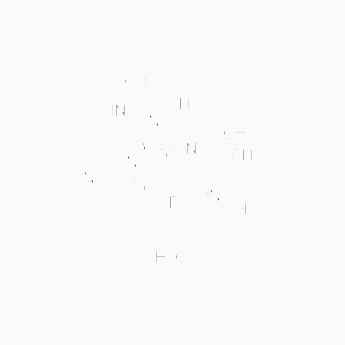 CCCC(F)(F)c1cc2c(cn1)C(C)(C)CN2C(=O)CN1C[C@@H](C)NC[C@@H]1CN1Cc2ncccc2C1=O.Cl.Cl